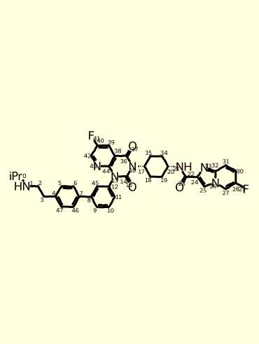 CC(C)NCCc1ccc(-c2cccc(-n3c(=O)n([C@H]4CC[C@@H](NC(=O)c5cn6cc(F)ccc6n5)CC4)c(=O)c4cc(F)cnc43)c2)cc1